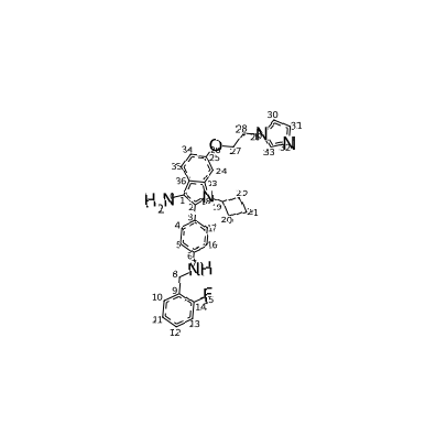 Nc1c(-c2ccc(NCc3ccccc3F)cc2)n(C2CCC2)c2cc(OCCn3ccnc3)ccc12